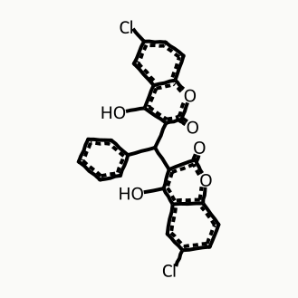 O=c1oc2ccc(Cl)cc2c(O)c1C(c1ccccc1)c1c(O)c2cc(Cl)ccc2oc1=O